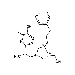 CC(CN1C[C@@H](CCCc2ccccc2)[C@@H](CO)C1)c1ccc(O)c(F)n1